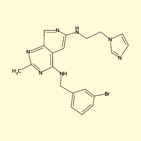 Cc1nc(NCc2cccc(Br)c2)c2cc(NCCn3ccnc3)ncc2n1